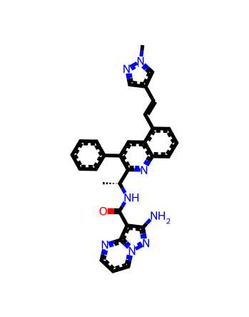 C[C@@H](NC(=O)c1c(N)nn2cccnc12)c1nc2cccc(/C=C/c3cnn(C)c3)c2cc1-c1ccccc1